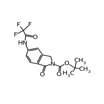 CC(C)(C)OC(=O)N1Cc2cc(NC(=O)C(F)(F)F)ccc2C1=O